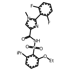 CCOc1cccc(C(C)C)c1S(=O)(=O)NC(=O)c1cn(C)c(-c2c(F)cccc2F)n1